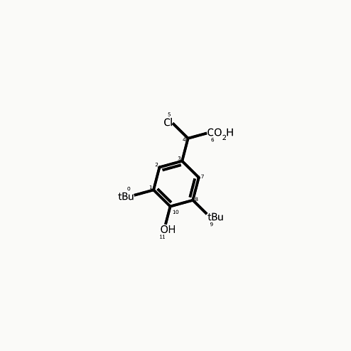 CC(C)(C)c1cc(C(Cl)C(=O)O)cc(C(C)(C)C)c1O